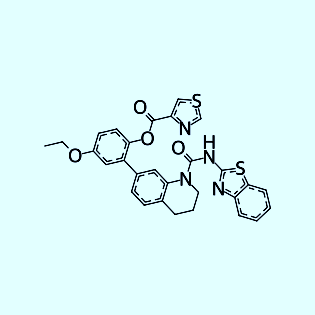 CCOc1ccc(OC(=O)c2cscn2)c(-c2ccc3c(c2)N(C(=O)Nc2nc4ccccc4s2)CCC3)c1